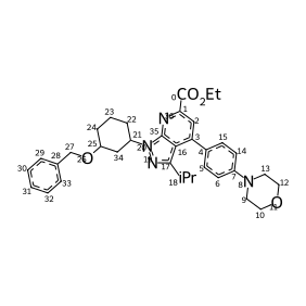 CCOC(=O)c1cc(-c2ccc(N3CCOCC3)cc2)c2c(C(C)C)nn(C3CCCC(OCc4ccccc4)C3)c2n1